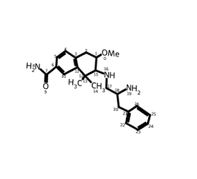 COC1Cc2ccc(C(N)=O)cc2C(C)(C)C1NCC(N)Cc1ccccc1